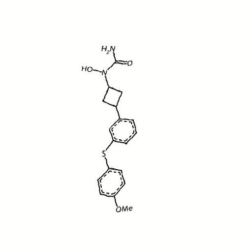 COc1ccc(Sc2cccc(C3CC(N(O)C(N)=O)C3)c2)cc1